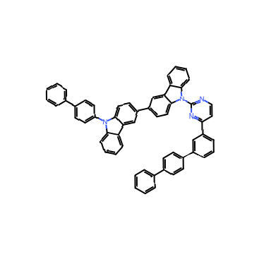 c1ccc(-c2ccc(-c3cccc(-c4ccnc(-n5c6ccccc6c6cc(-c7ccc8c(c7)c7ccccc7n8-c7ccc(-c8ccccc8)cc7)ccc65)n4)c3)cc2)cc1